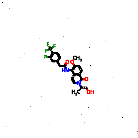 COc1ccc2c(=O)n([C@H](C)CO)ccc2c1NC(=O)Cc1ccc(C(F)(F)F)c(F)c1